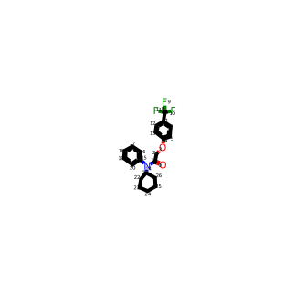 O=C(COc1ccc(C(F)(F)F)cc1)N(c1ccccc1)C1CCCCC1